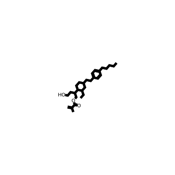 C=C(C)C(=O)OCC(CCO)C1CCC(CCc2ccc(CCCCC)cc2)CC1CC